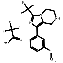 COc1cccc(-c2nc(C(F)(F)F)n3c2CNCC3)c1.O=C(O)C(F)(F)F